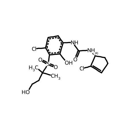 CC(C)(CCO)S(=O)(=O)c1c(Cl)ccc(NC(=O)N[C@@H]2CCC=C2Cl)c1O